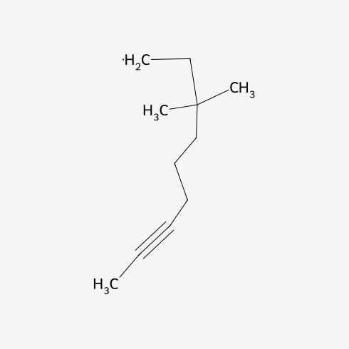 [CH2]CC(C)(C)CCCC#CC